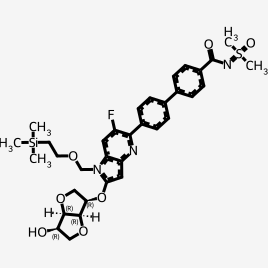 C[Si](C)(C)CCOCn1c(O[C@@H]2CO[C@H]3[C@@H]2OC[C@H]3O)cc2nc(-c3ccc(-c4ccc(C(=O)N=S(C)(C)=O)cc4)cc3)c(F)cc21